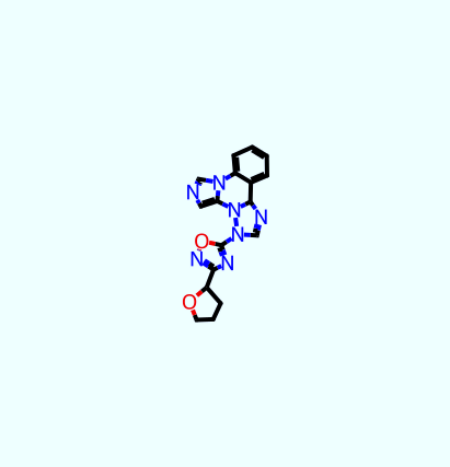 C1=NC2c3ccccc3-n3cncc3N2N1c1nc(C2CCCO2)no1